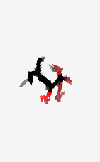 C=CC(C)C(O)C(Br)(Br)Br